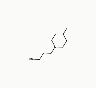 CC1CCN(CCC[NH])CC1